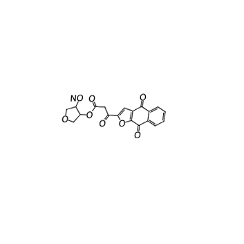 O=NC1COCC1OC(=O)CC(=O)c1cc2c(o1)C(=O)c1ccccc1C2=O